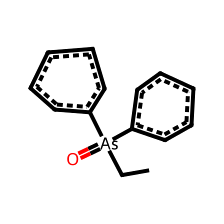 CC[As](=O)(c1ccccc1)c1ccccc1